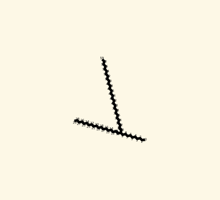 [CH2]CCCCCCCCCC(C=CCCCCCCCCCCCCCCCCC)C=CCCCCCCCCCCCCCCCCCCCCCCCCCCCC